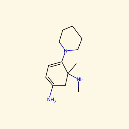 CNC1(C)CC(N)=CC=C1N1CCCCC1